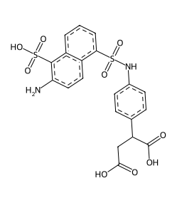 Nc1ccc2c(S(=O)(=O)Nc3ccc(C(CC(=O)O)C(=O)O)cc3)cccc2c1S(=O)(=O)O